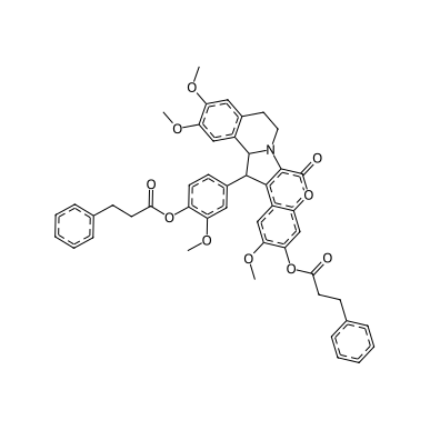 COc1cc2c(cc1OC)C1C(c3ccc(OC(=O)CCc4ccccc4)c(OC)c3)c3c(c(=O)oc4cc(OC(=O)CCc5ccccc5)c(OC)cc34)N1CC2